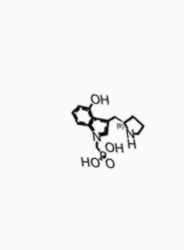 O=P(O)(O)Cn1cc(C[C@H]2CCCN2)c2c(O)cccc21